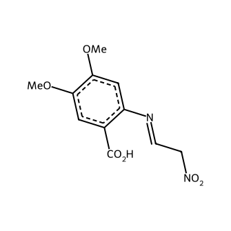 COc1cc(N=CC[N+](=O)[O-])c(C(=O)O)cc1OC